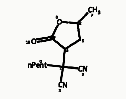 CCCCCC(C#N)(C#N)C1CC(C)OC1=O